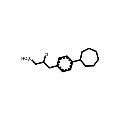 O=C(O)CC(Cl)Cc1ccc(C2CCCCCC2)cc1